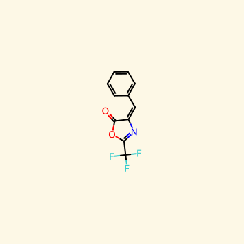 O=C1OC(C(F)(F)F)=N/C1=C/c1ccccc1